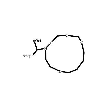 CCCCCCCCC(CCCCCCC)N1CCCCCCCCCCCC1